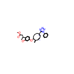 C=C1/C=C\C=C(\c2nnnn2-c2ccccc2)CCC[C@H]1Oc1ccc2c(c1)OC[C@H]2CC(=O)OC